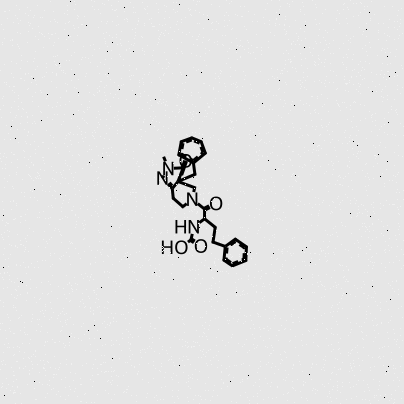 CN1N=C2CCN(C(=O)C(CCc3ccccc3)NC(=O)O)CC2(Cc2ccccc2)C1=O